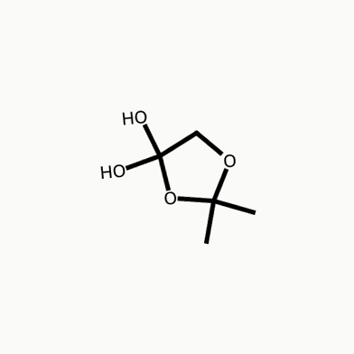 CC1(C)OCC(O)(O)O1